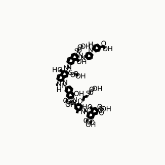 CNc1ccc2c(O)c(N=Nc3ccc4cc(SOOO)c(N=Nc5cccc(Nc6ccc(C(=O)O)cc6)c5)c(O)c4c3)c(SOOO)cc2c1N=Nc1ccc2c(O)c(N=Nc3cc(C)c(N=Nc4cc(S(=O)(=O)O)cc5cc(S(=O)(=O)O)cc(O)c45)cc3OCCCSOOO)c(S(=O)(=O)O)cc2c1